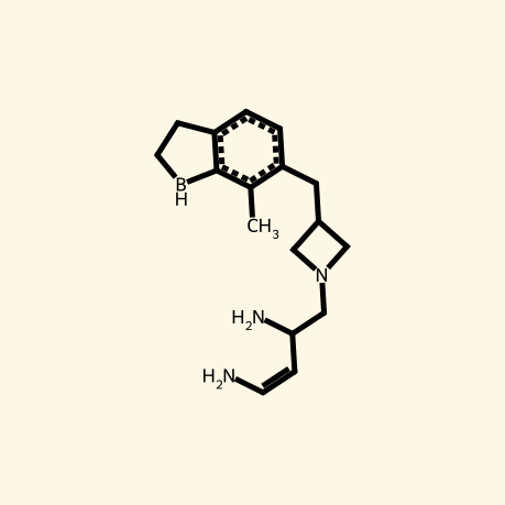 Cc1c(CC2CN(CC(N)/C=C\N)C2)ccc2c1BCC2